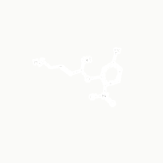 CCC=CC(O)Oc1cc(Br)ccc1[N+](=O)[O-]